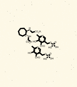 Cc1ncc(COP(=O)(O)O)c(C=O)c1O.Cc1ncc(COP(=O)(O)O)c(C=O)c1O.O=C(O)CN[C@@H]1CCCCC[C@H]1NCC(=O)O